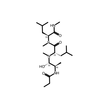 CCC(=O)N[C@H](C)[C@H](O)N(C)[C@@H](CC(C)C)C(=O)N(C)[C@@H](CC(C)C)C(=O)NC